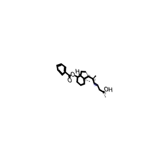 C[C@@H](O)C/C=C/[C@H](C)[C@H]1CC[C@H]2C(OC(=O)c3ccccc3)CCC[C@]12C